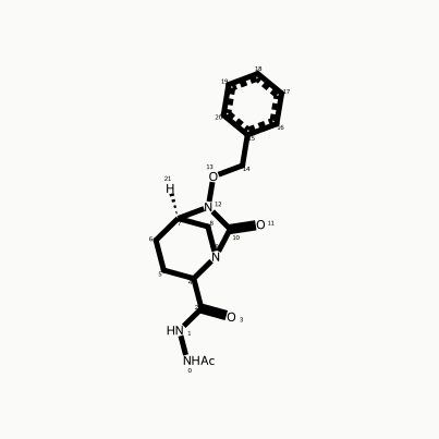 CC(=O)NNC(=O)C1CC[C@@H]2CN1C(=O)N2OCc1ccccc1